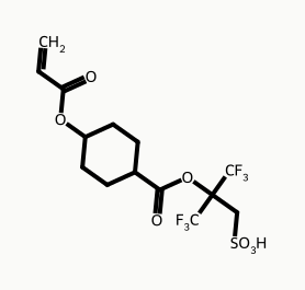 C=CC(=O)OC1CCC(C(=O)OC(CS(=O)(=O)O)(C(F)(F)F)C(F)(F)F)CC1